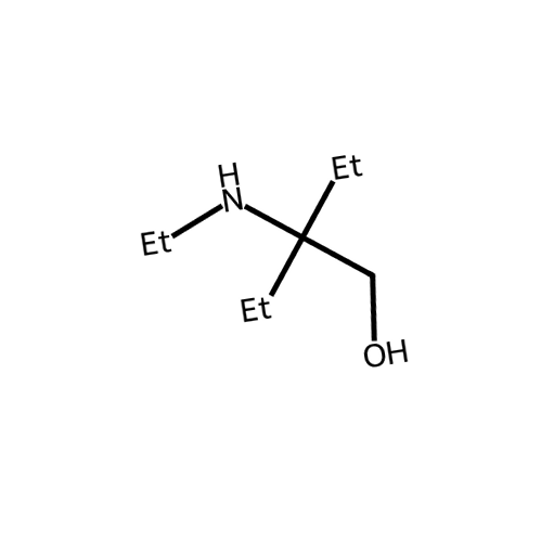 CCNC(CC)(CC)CO